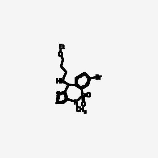 CCOCCCNC1c2ccc(Br)cc2S(=O)(=O)N(C)c2ccsc21